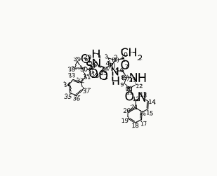 C=C[C@@H]1C[C@]1(NC(=O)[C@@H]1C[C@@H](Oc2nccc3ccccc23)CN1)C(=O)NS(=O)(=O)C1(Cc2ccccc2)CC1